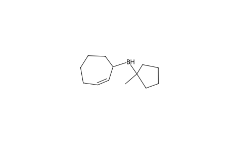 CC1(BC2C=CCCCC2)CCCC1